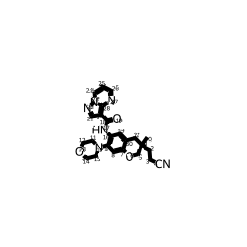 CC1(CCC#N)COc2cc(N3CCOCC3)c(NC(=O)c3cnn4cccnc34)cc2C1